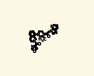 CC1CN(c2cccc3c2CN(C(=O)c2cocn2)CC3)CCN1C(=O)Cn1cnc2cccnc21